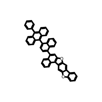 c1ccc(-c2c3ccccc3c(-c3ccc(-c4cc5oc6cc7c(cc6c5c5ccccc45)oc4ccccc47)c4ccccc34)c3ccccc23)cc1